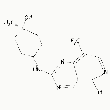 C[C@]1(O)CC[C@H](Nc2ncc3c(Cl)ncc(C(F)(F)F)c3n2)CC1